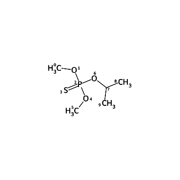 COP(=S)(OC)OC(C)C